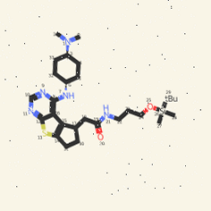 CN(C)[C@H]1CC[C@H](Nc2ncnc3sc4c(c23)C(CC(=O)NCCCO[Si](C)(C)C(C)(C)C)CC4)CC1